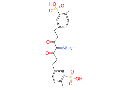 Cc1ccc(CCC(=O)C(=[N+]=[N-])C(=O)CCc2ccc(C)c(S(=O)(=O)O)c2)cc1S(=O)(=O)O